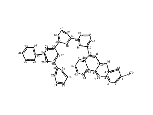 Fc1ccc2nc3c(cc(-c4cccc(-c5cccc(-c6nc(-c7ccccc7)nc(-c7ccccc7)n6)c5)c4)c4cccnc43)cc2c1